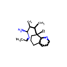 C/C=N\C(N)C(C)C(C)C1(CC)CCCc2cccnc21